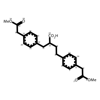 COC(=O)Cc1ccc(CCC(Cc2ccc(CC(=O)OC)cc2)C(=O)O)cc1